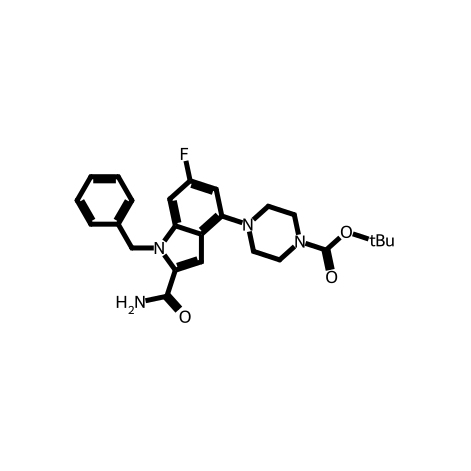 CC(C)(C)OC(=O)N1CCN(c2cc(F)cc3c2cc(C(N)=O)n3Cc2ccccc2)CC1